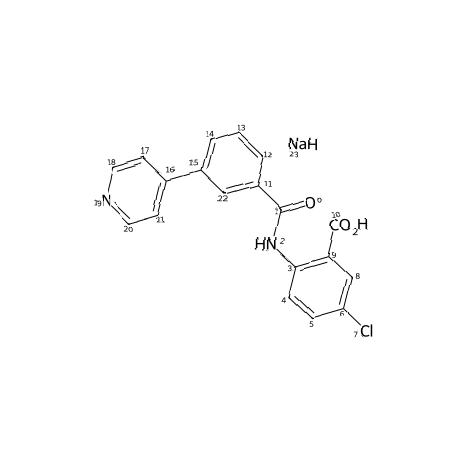 O=C(Nc1ccc(Cl)cc1C(=O)O)c1cccc(-c2ccncc2)c1.[NaH]